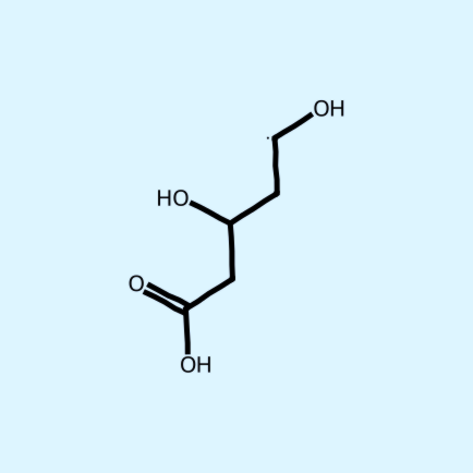 O=C(O)CC(O)C[CH]O